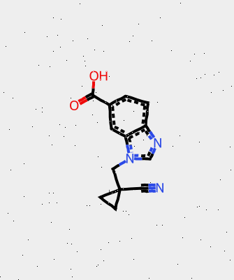 N#CC1(Cn2cnc3ccc(C(=O)O)cc32)CC1